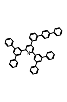 c1ccc(-c2ccc(-c3cccc(-c4cc(-c5cc(-c6ccccc6)cc(-c6ccccc6)c5)nc(-c5cc(-c6ccccc6)cc(-c6ccccc6)c5)c4)c3)cc2)cc1